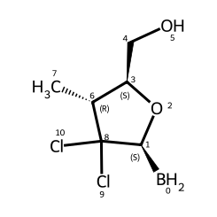 B[C@@H]1O[C@H](CO)[C@@H](C)C1(Cl)Cl